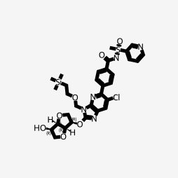 C[Si](C)(C)CCOCn1c(O[C@@H]2CO[C@H]3[C@@H]2OC[C@H]3O)nc2cc(Cl)c(-c3ccc(C(=O)N=S(C)(=O)c4cccnc4)cc3)nc21